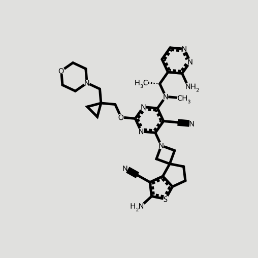 C[C@H](c1ccnnc1N)N(C)c1nc(OCC2(CN3CCOCC3)CC2)nc(N2CC3(CCc4sc(N)c(C#N)c43)C2)c1C#N